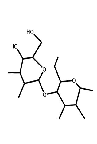 CCC1OC(C)C(C)C(C)C1OC1OC(CO)C(O)C(C)C1C